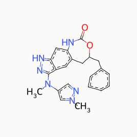 CN(c1cnn(C)c1)c1n[nH]c2cc3c(cc12)CC(Cc1ccccc1)OC(=O)N3